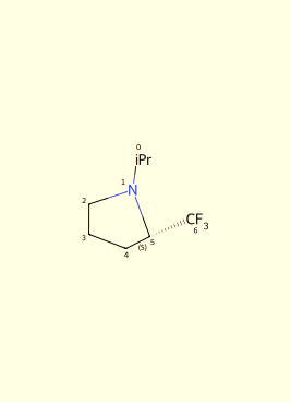 CC(C)N1CCC[C@H]1C(F)(F)F